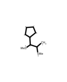 CSC(C)C(SC)C1CCCC1